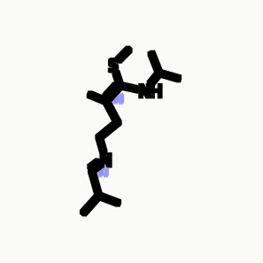 CS/C(NC(C)C)=C(\C)CC/N=C/C(C)C